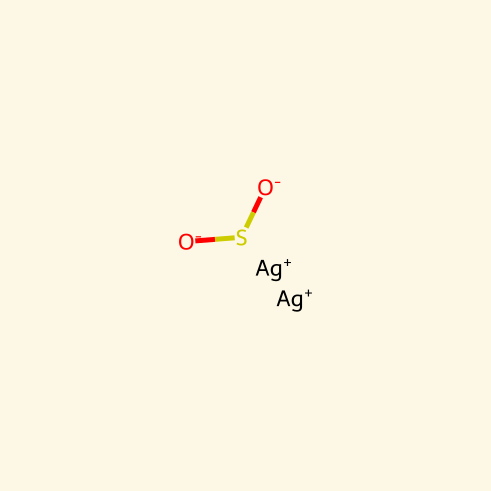 [Ag+].[Ag+].[O-]S[O-]